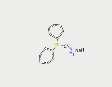 N.N#C[SH](c1ccccc1)c1ccccc1.[NaH]